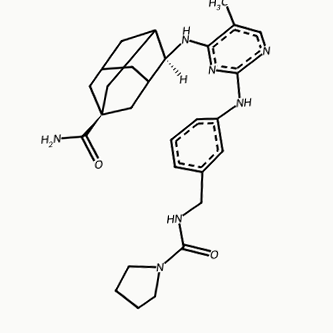 Cc1cnc(Nc2cccc(CNC(=O)N3CCCC3)c2)nc1N[C@H]1C2CC3CC1C[C@@](C(N)=O)(C3)C2